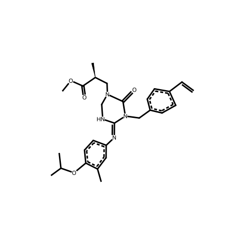 C=Cc1ccc(CN2C(=O)N(C[C@H](C)C(=O)OC)CN/C2=N\c2ccc(OC(C)C)c(C)c2)cc1